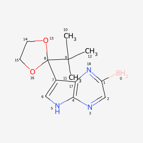 Bc1cnc2[nH]cc(C3(C(C)(C)C)OCCO3)c2n1